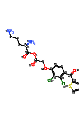 NCCC[C@@H](N)C(=O)OC(=O)COc1ccc(C(=O)c2cccs2)c(Cl)c1Cl